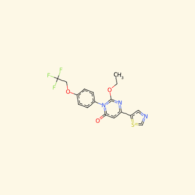 CCOc1nc(-c2cncs2)cc(=O)n1-c1ccc(OCC(F)(F)F)cc1